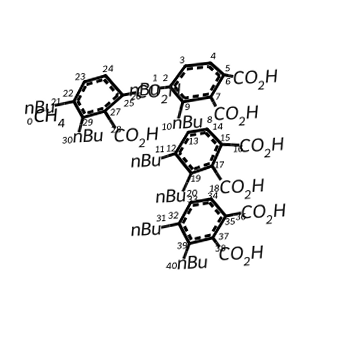 C.CCCCc1ccc(C(=O)O)c(C(=O)O)c1CCCC.CCCCc1ccc(C(=O)O)c(C(=O)O)c1CCCC.CCCCc1ccc(C(=O)O)c(C(=O)O)c1CCCC.CCCCc1ccc(C(=O)O)c(C(=O)O)c1CCCC